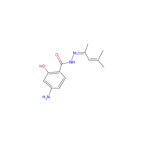 CC(C)=CC(C)=NNC(=O)c1ccc(N)cc1O